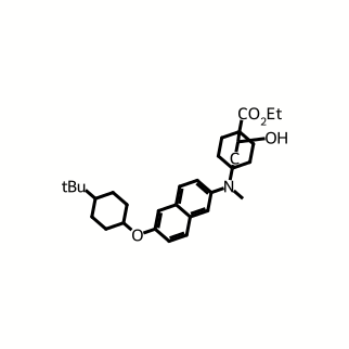 CCOC(=O)C12CCC(N(C)c3ccc4cc(OC5CCC(C(C)(C)C)CC5)ccc4c3)(CC1)CC2O